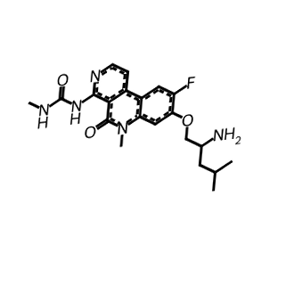 CNC(=O)Nc1nccc2c1c(=O)n(C)c1cc(OCC(N)CC(C)C)c(F)cc21